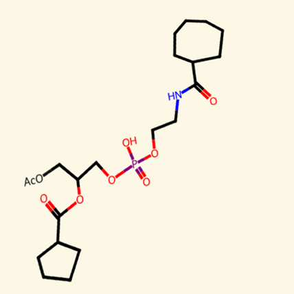 CC(=O)OCC(COP(=O)(O)OCCNC(=O)C1CCCCCC1)OC(=O)C1CCCC1